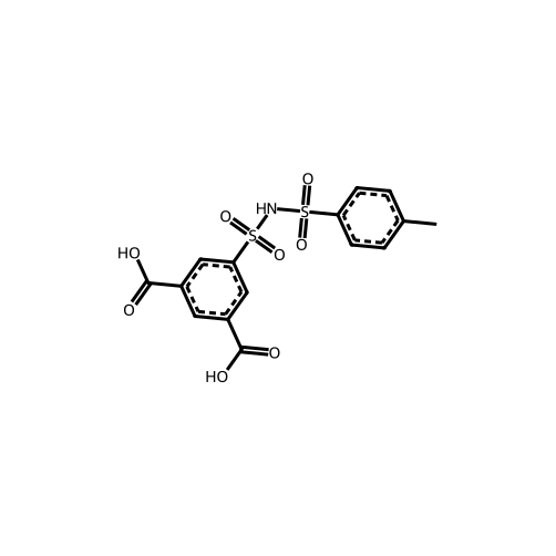 Cc1ccc(S(=O)(=O)NS(=O)(=O)c2cc(C(=O)O)cc(C(=O)O)c2)cc1